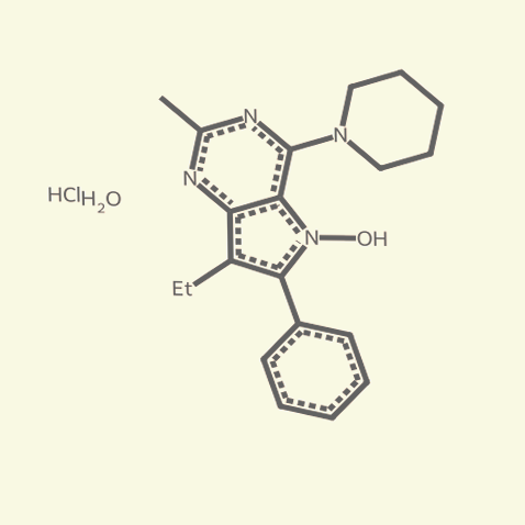 CCc1c(-c2ccccc2)n(O)c2c(N3CCCCC3)nc(C)nc12.Cl.O